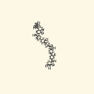 CCN(C)S(=O)(=O)Nc1ccc(F)c(C(=O)c2c[nH]c3ncc(-c4ccc(N5CCN(C(=O)CC6(O)CCN(c7ccc(NC8CCC(=O)NC8=O)cc7F)CC6)CC5)c(Cl)c4)cc23)c1F